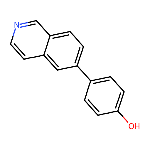 Oc1ccc(-c2ccc3cnccc3c2)cc1